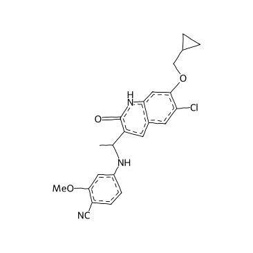 COc1cc(NC(C)c2cc3cc(Cl)c(OCC4CC4)cc3[nH]c2=O)ccc1C#N